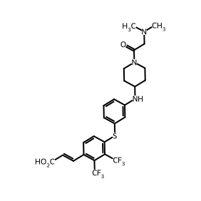 CN(C)CC(=O)N1CCC(Nc2cccc(Sc3ccc(C=CC(=O)O)c(C(F)(F)F)c3C(F)(F)F)c2)CC1